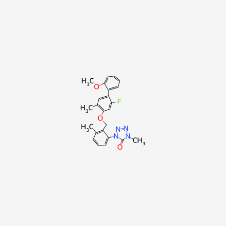 COc1ccccc1-c1cc(C)c(OCc2c(C)cccc2-n2nnn(C)c2=O)cc1F